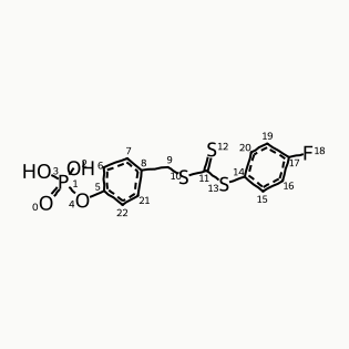 O=P(O)(O)Oc1ccc(CSC(=S)Sc2ccc(F)cc2)cc1